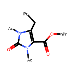 CCCOC(=O)c1c(CC(C)C)n(C(C)=O)c(=O)n1C(C)=O